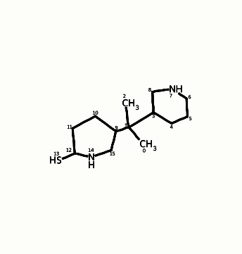 CC(C)(C1CCCNC1)C1CCC(S)NC1